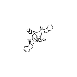 CN1c2c3cc(Br)[c](c2C2=Cc4ccccc4C21)[Zr+2][c]1c(Br)cc(c2c1C1=Cc4ccccc4C1N2C)S3.[Cl-].[Cl-]